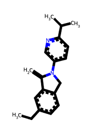 C=C1c2cc(CC)ccc2CN1c1ccc(C(C)C)nc1